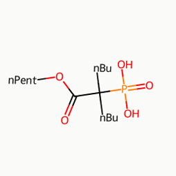 CCCCCOC(=O)C(CCCC)(CCCC)P(=O)(O)O